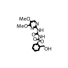 COc1cnc(NC(=O)NS(=O)(=O)c2ccccc2CO)nc1OC